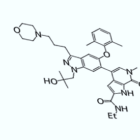 CCNC(=O)c1cc2c(-c3cc4c(cc3Oc3c(C)cccc3C)c(CCCN3CCOCC3)nn4CC(C)(C)O)cn(C)c(=O)c2[nH]1